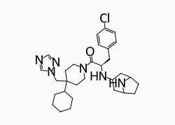 O=C([C@@H](Cc1ccc(Cl)cc1)NC1CC2CCC(C1)N2)N1CCC(Cn2cncn2)(C2CCCCC2)CC1